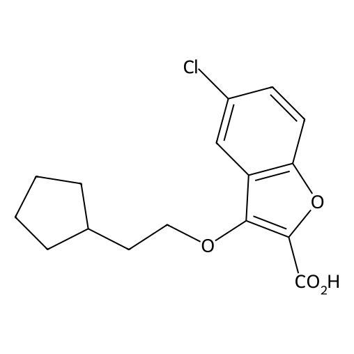 O=C(O)c1oc2ccc(Cl)cc2c1OCCC1CCCC1